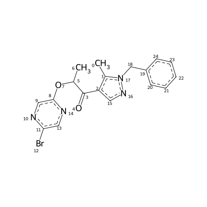 Cc1c(C(=O)C(C)Oc2cnc(Br)cn2)cnn1Cc1ccccc1